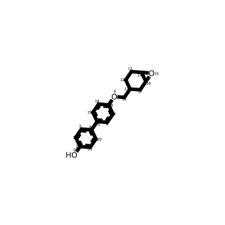 Oc1ccc(-c2ccc(OCC3CCC4OC4C3)cc2)cc1